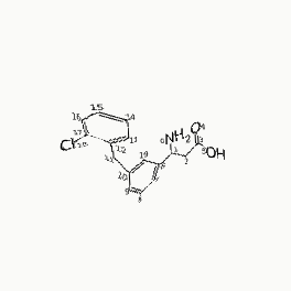 NC(CC(=O)O)c1cccc(Cc2ccccc2Cl)c1